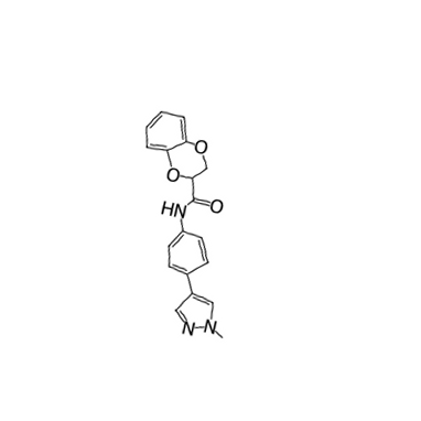 Cn1cc(-c2ccc(NC(=O)C3COc4ccccc4O3)cc2)cn1